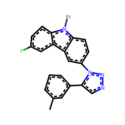 CCn1c2ccc(F)cc2c2cc(-n3nncc3-c3cccc(C)c3)ccc21